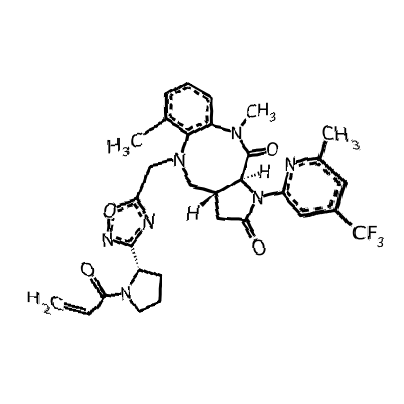 C=CC(=O)N1CCC[C@H]1c1noc(CN2C[C@H]3CC(=O)N(c4cc(C(F)(F)F)cc(C)n4)[C@@H]3C(=O)N(C)c3cccc(C)c32)n1